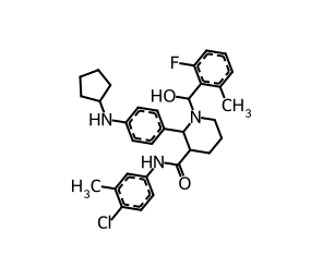 Cc1cc(NC(=O)C2CCCN(C(O)c3c(C)cccc3F)C2c2ccc(NC3CCCC3)cc2)ccc1Cl